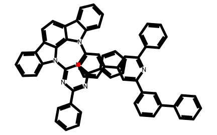 c1ccc(-c2cccc(-c3cc(-c4cccc(-n5c6ccccc6c6ccc7c8ccccc8n(-c8nc(-c9ccccc9)nc(-c9ccccc9)n8)c7c65)c4)cc(-c4ccccc4)n3)c2)cc1